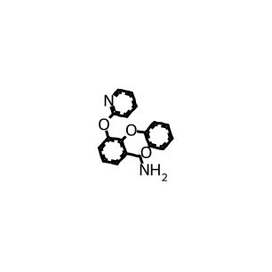 NC(=O)c1cccc(Oc2ccccn2)c1Oc1ccccc1